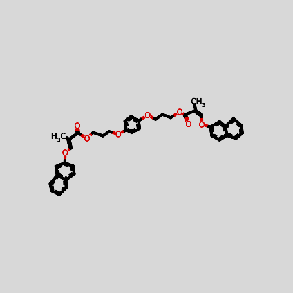 CC(=COc1ccc2ccccc2c1)C(=O)OCCCOc1ccc(OCCCOC(=O)C(C)=COc2ccc3ccccc3c2)cc1